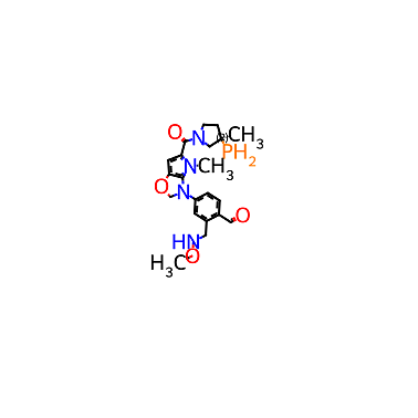 CONCc1cc(N2COc3cc(C(=O)N4CC[C@@](C)(P)C4)n(C)c32)ccc1C=O